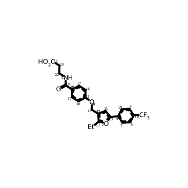 CCc1oc(-c2ccc(C(F)(F)F)cc2)cc1COc1ccc(C(=O)NCCC(=O)O)cc1